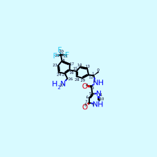 C[C@@H](NC(=O)c1cc(=O)[nH]cn1)c1ccc(-c2cc(C(F)(F)F)ccc2CN)cc1